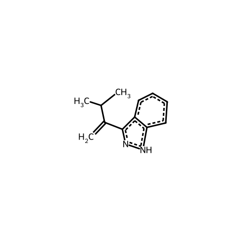 C=C(c1n[nH]c2ccccc12)C(C)C